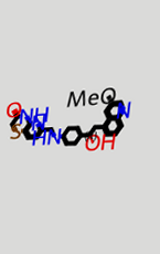 COc1cnc2cccc(C[C@@H](O)C3CCC(NCc4ccc5c(n4)NC(=O)CS5)CC3)c2c1